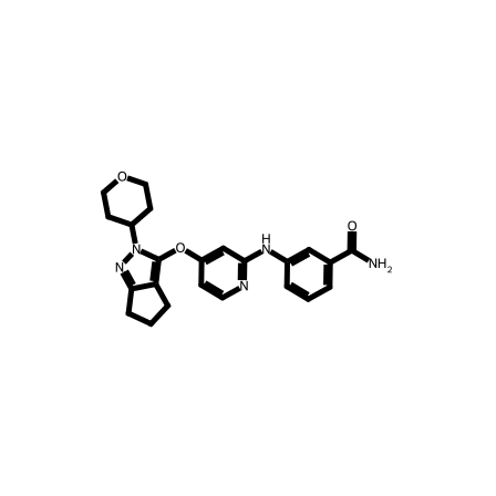 NC(=O)c1cccc(Nc2cc(Oc3c4c(nn3C3CCOCC3)CCC4)ccn2)c1